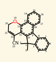 CC1(C)c2ccccc2-c2c1c1c(c3ccccc23)OCC=C1C#N